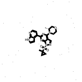 C[C@@H]1COCCN1c1nc(-c2ccnc3[nH]ccc23)nc2c1cnn2S(=O)(=O)C1(C)CC1